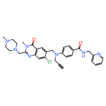 C#CCN(Cc1cc2c(=O)n(C)c(CN3CCN(C)CC3)nc2cc1Cl)c1ccc(C(=O)NCc2ccccn2)cc1